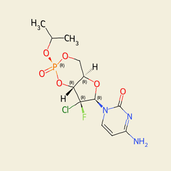 CC(C)O[P@@]1(=O)OC[C@H]2O[C@@H](n3ccc(N)nc3=O)[C@](F)(Cl)[C@@H]2O1